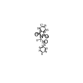 CC(C1OC1c1ccccc1)N1C(=O)c2ccccc2C1=O